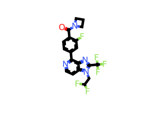 O=C(c1ccc(-c2nccc3c2nc(C(F)(F)F)n3CC(F)F)cc1F)N1CCC1